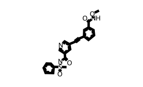 CONC(=O)c1cccc(C#Cc2cncc(C(=O)N=S(C)(=O)c3ccccc3)c2)c1